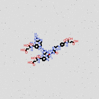 CN(Cc1cnc2nc(N)nc(N)c2n1)c1ccc(C(=O)N[C@@H](CCC(=O)O)C(=O)O)cc1.CN(Cc1cnc2nc(N)nc(N)c2n1)c1ccc(C(=O)N[C@@H](CCC(=O)O)C(=O)O)cc1.Nc1nc(=O)c2nc(CNc3ccc(C(=O)N[C@@H](CCC(=O)O)C(=O)O)cc3)cnc2[nH]1